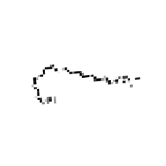 CC/C=C\C/C=C\C/C=C\CCCC=C/C=C/C=C/C(=O)O